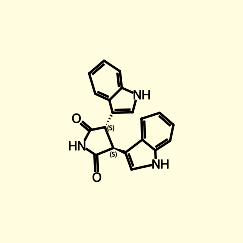 O=C1NC(=O)[C@H](c2c[nH]c3ccccc23)[C@H]1c1c[nH]c2ccccc12